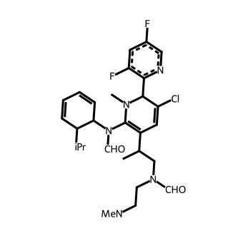 CNCCN(C=O)CC(C)C1=C(N(C=O)C2C=CC=CC2C(C)C)N(C)C(c2ncc(F)cc2F)C(Cl)=C1